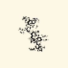 COC1C(OC)[C@H](O[C@H]2OC(CO)[C@@H](OC)C(OC)C2N=[N+]=[N-])C(C(=O)O)O[C@H]1O[C@@H]1C(CO)O[C@H](O[C@@H]2C(C(=O)O)O[C@@H](O[C@@H]3C(CO)O[C@H](OC)C(O)C3O)C(OC)C2OC)C(O)C1O